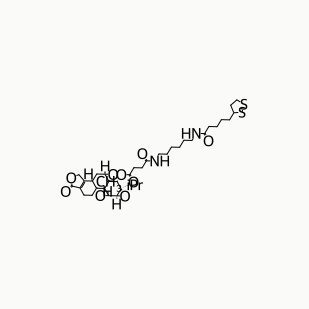 CC(C)[C@]12O[C@H]1[C@@H]1O[C@]13[C@]1(O[C@H]1C[C@H]1C4=C(CC[C@@]13C)C(=O)OC4)[C@@H]2OC(=O)CCC(=O)NCCCCCCNC(=O)CCCCC1CCSS1